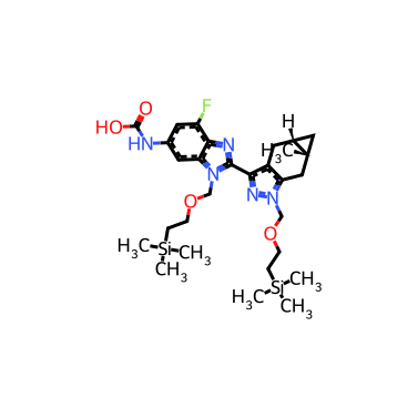 C[C@@]12Cc3c(c(-c4nc5c(F)cc(NC(=O)O)cc5n4COCC[Si](C)(C)C)nn3COCC[Si](C)(C)C)C[C@@H]1C2